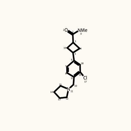 CNC(=O)C1CC(c2ccc(CN3CCCC3)c(Cl)c2)C1